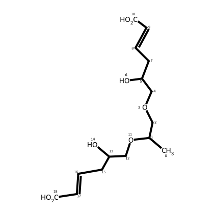 CC(COCC(O)C/C=C/C(=O)O)OCC(O)C/C=C/C(=O)O